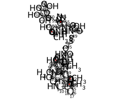 CC[C@](C)(O)C[C@H]1CNCCc2c([nH]c3ccccc23)[C@@](C(=O)OC)(c2cc3c(cc2OC)N(C)[C@H]2[C@@](O)(C(=O)NNC(=O)OCCSSC[C@H](NC(=O)[C@H](Cc4cn(CCO[C@@H]5OC(C(=O)O)C(O)[C@H](O)C5O)nn4)NC(=O)[C@H](CC(=O)O)NC(C)=O)C(=O)O)[C@H](O)[C@]4(CC)C=CCN5CC[C@]32[C@@H]54)C1